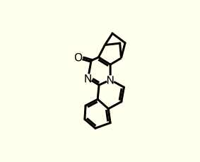 O=c1nc2c3ccccc3ccn2c2c1C1CCC2C1